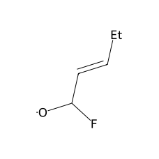 CC/C=C/C([O])F